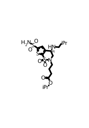 CC(C)CN[C@H]1CN(CCCC(=O)OC(C)C)S(=O)(=O)c2sc(S(N)(=O)=O)cc21